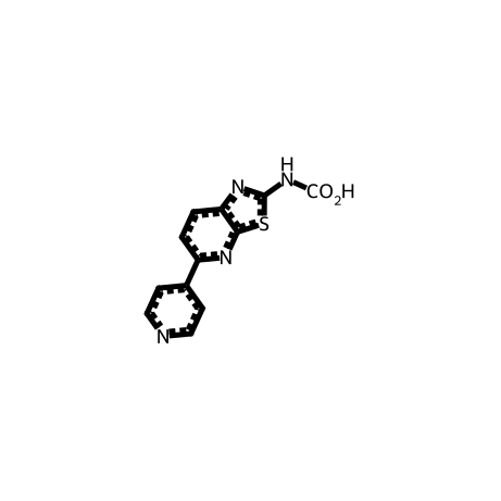 O=C(O)Nc1nc2ccc(-c3ccncc3)nc2s1